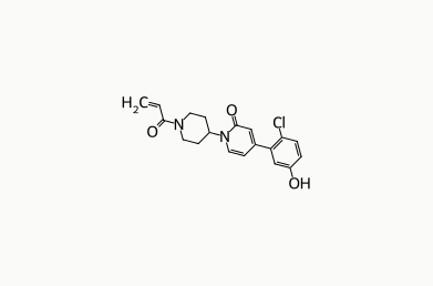 C=CC(=O)N1CCC(n2ccc(-c3cc(O)ccc3Cl)cc2=O)CC1